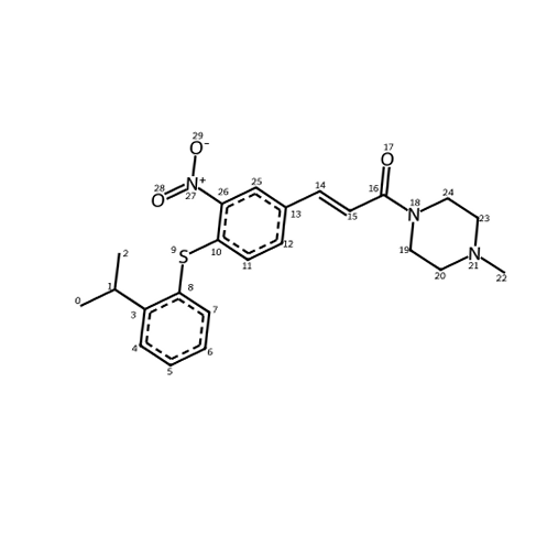 CC(C)c1ccccc1Sc1ccc(C=CC(=O)N2CCN(C)CC2)cc1[N+](=O)[O-]